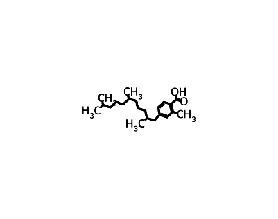 Cc1cc(CC(C)CCCC(C)CCCC(C)C)ccc1C(=O)O